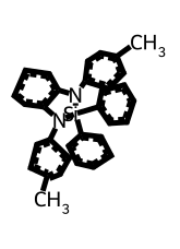 Cc1ccc(N2c3ccccc3N(c3ccc(C)cc3)[Si]2(c2ccccc2)c2ccccc2)cc1